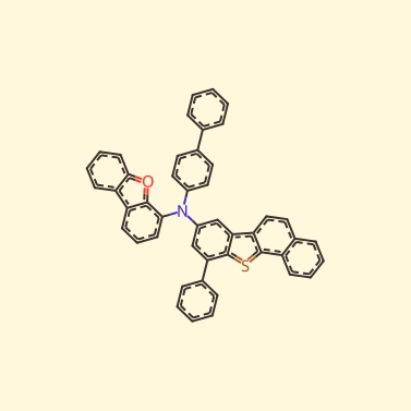 c1ccc(-c2ccc(N(c3cc(-c4ccccc4)c4sc5c6ccccc6ccc5c4c3)c3cccc4c3oc3ccccc34)cc2)cc1